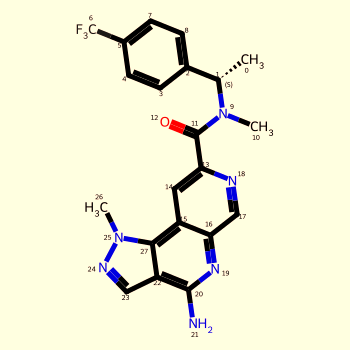 C[C@@H](c1ccc(C(F)(F)F)cc1)N(C)C(=O)c1cc2c(cn1)nc(N)c1cnn(C)c12